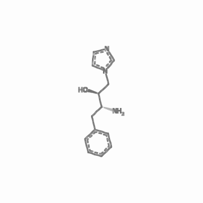 N[C@H](Cc1ccccc1)[C@@H](O)Cn1ccnc1